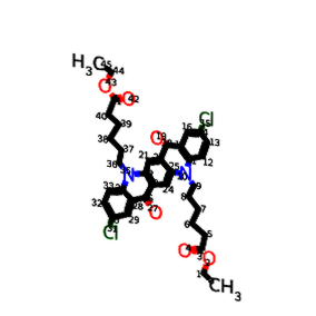 CCOC(=O)CCCCCn1c2ccc(Cl)cc2c(=O)c2cc3c(cc21)c(=O)c1cc(Cl)ccc1n3CCCCCC(=O)OCC